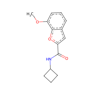 COc1cccc2cc(C(=O)NC3CCC3)oc12